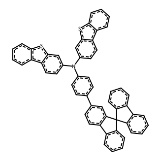 c1ccc2c(c1)-c1ccccc1C21c2ccccc2-c2ccc(-c3ccc(N(c4ccc5c(c4)sc4ccccc45)c4ccc5c(c4)sc4ccccc45)cc3)cc21